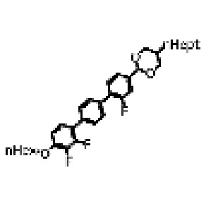 CCCCCCCC1COC(c2ccc(-c3ccc(-c4ccc(OCCCCCC)c(F)c4F)cc3)c(F)c2)OC1